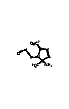 CC1(C)CCC(C=O)N1CCCl